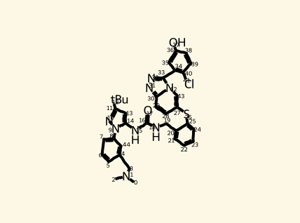 CN(C)Cc1cccc(-n2nc(C(C)(C)C)cc2NC(=O)NCc2ccccc2Sc2ccc3nnc(-c4cc(O)ccc4Cl)n3c2)c1